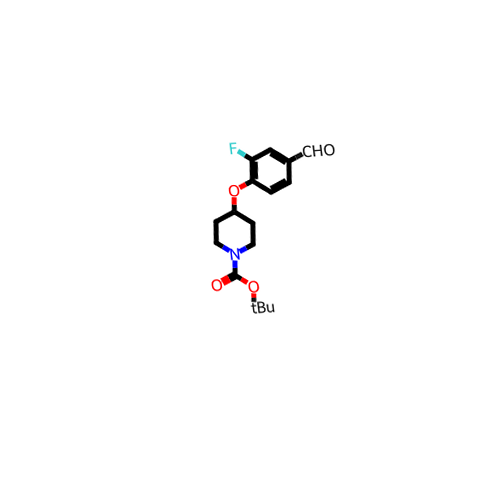 CC(C)(C)OC(=O)N1CCC(Oc2ccc(C=O)cc2F)CC1